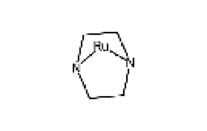 C1C[N]2CC[N]1[Ru]2